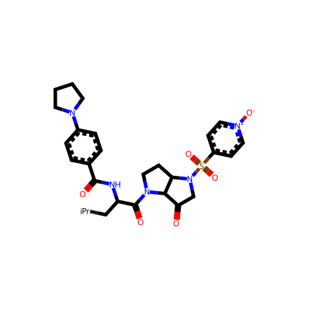 CC(C)CC(NC(=O)c1ccc(N2CCCC2)cc1)C(=O)N1CCC2C1C(=O)CN2S(=O)(=O)c1cc[n+]([O-])cc1